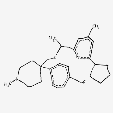 Cc1cc(C2CCCC2)nc(C(C)OCC2(c3ccc(F)cc3)CCN(C)CC2)c1